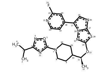 CC(C)c1noc(N2CCC([C@H](C)Oc3nn4c(-c5ccnc(F)c5)cnc4s3)CC2)n1